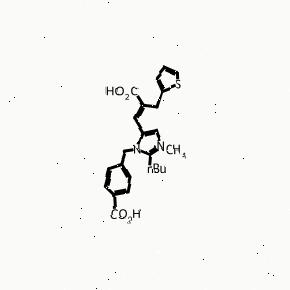 C.CCCCc1ncc(C=C(Cc2cccs2)C(=O)O)n1Cc1ccc(C(=O)O)cc1